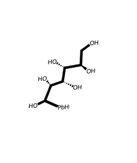 OC[C@@H](O)[C@@H](O)[C@H](O)[C@@H](O)[CH](O)[PbH]